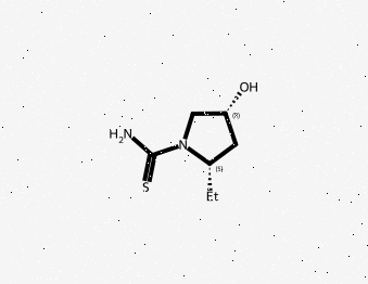 CC[C@H]1C[C@@H](O)CN1C(N)=S